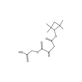 C=C(CC(=O)OC1C(C)(C)CC1(C)C)C(=O)OCC(=O)O